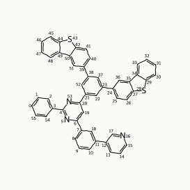 c1ccc(-c2nc(-c3cccc(-c4cccnc4)c3)cc(-c3cc(-c4ccc5sc6ccccc6c5c4)cc(-c4ccc5sc6ccccc6c5c4)c3)n2)cc1